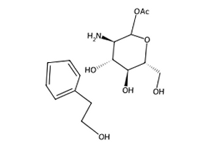 CC(=O)OC1O[C@H](CO)[C@@H](O)[C@H](O)[C@H]1N.OCCc1ccccc1